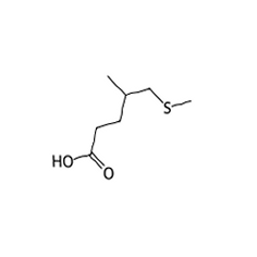 CSCC(C)CCC(=O)O